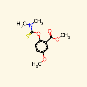 COC(=O)c1cc(OC)ccc1OC(=S)N(C)C